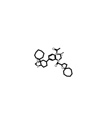 CC(=O)N1c2ccc(C3CCC4SCNC4(C4CCCCCCC4)C3)cc2N(C(=O)C2CCC3(CCCCCCC3)O2)C[C@@H]1C